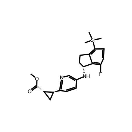 COC(=O)[C@H]1C[C@@H]1c1ccc(N[C@@H]2CCc3c([Si](C)(C)C)ccc(F)c32)cn1